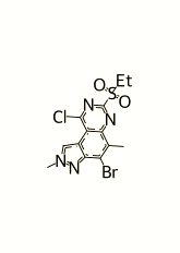 CCS(=O)(=O)c1nc(Cl)c2c(n1)c(C)c(Br)c1nn(C)cc12